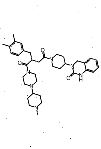 Cc1ccc(CC(CC(=O)N2CCC(N3Cc4ccccc4NC3=O)CC2)C(=O)N2CCN(C3CCN(C)CC3)CC2)cc1C